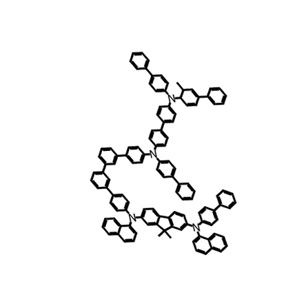 CC1C=C(c2ccccc2)C=CC1N(c1ccc(-c2ccccc2)cc1)c1ccc(-c2ccc(N(c3ccc(-c4ccccc4)cc3)c3ccc(-c4cccc(-c5cccc(-c6ccc(N(c7ccc8c(c7)C(C)(C)c7cc(N(c9ccc(-c%10ccccc%10)cc9)c9cccc%10ccccc9%10)ccc7-8)c7cccc8ccccc78)cc6)c5)c4)cc3)cc2)cc1